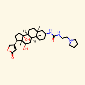 C[C@]12CC[C@H](NC(=O)NCCN3CCCC3)C[C@H]1CC[C@@H]1[C@@H]2C[C@@H](O)[C@]2(C)[C@@H](C3=CC(=O)OC3)CC[C@]12O